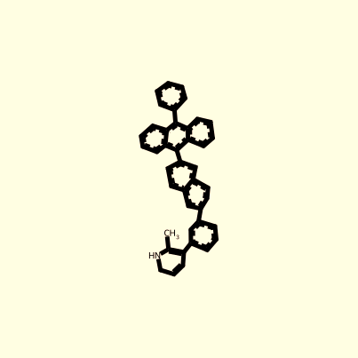 CC1=C(c2cccc(-c3ccc4cc(-c5c6ccccc6c(-c6ccccc6)c6ccccc56)ccc4c3)c2)C=CCN1